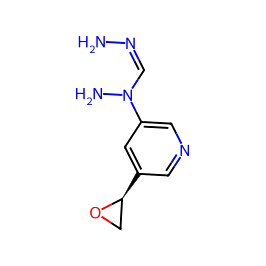 N/N=C\N(N)c1cncc([C@H]2CO2)c1